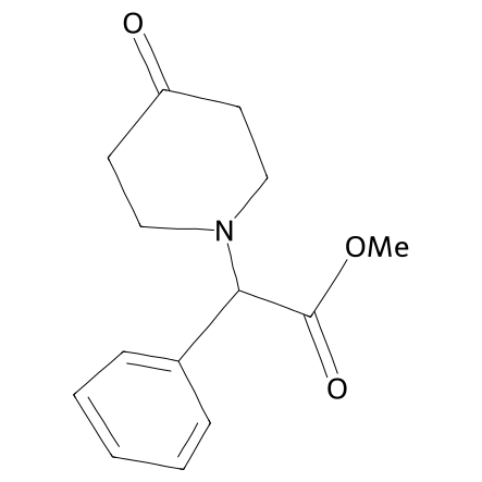 COC(=O)C(c1ccccc1)N1CCC(=O)CC1